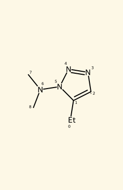 CCc1[c]nnn1N(C)C